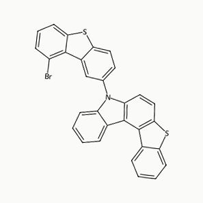 Brc1cccc2sc3ccc(-n4c5ccccc5c5c6c(ccc54)sc4ccccc46)cc3c12